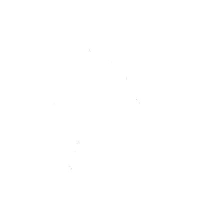 Cc1ccc(C(C)(C)c2ccco2)cc1S(=O)(=O)CNC(N)=O.NC=O